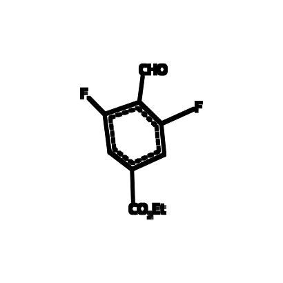 CCOC(=O)c1cc(F)c(C=O)c(F)c1